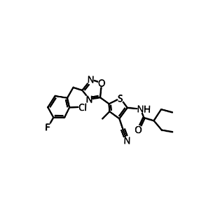 CCC(CC)C(=O)Nc1sc(-c2nc(Cc3ccc(F)cc3Cl)no2)c(C)c1C#N